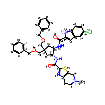 CC(C)N1CCc2nc(C(=O)N[C@@H]3CC(COCc4ccccc4)(COCc4ccccc4)C[C@H]3NC(=O)c3cc4cc(Cl)ccc4[nH]3)sc2C1